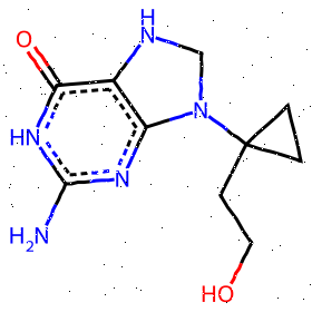 Nc1nc2c(c(=O)[nH]1)NCN2C1(CCO)CC1